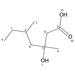 CCC(C)CC(C)(O)CC(=O)O